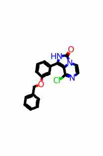 O=c1[nH]c(-c2cccc(OCc3ccccc3)c2)c2c(Cl)nccn12